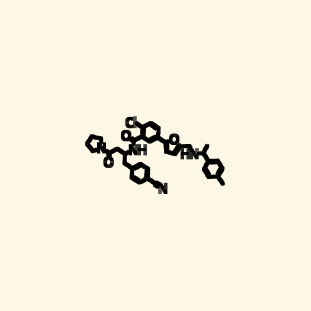 Cc1ccc(C(C)NCc2ccc(-c3ccc(Cl)c(C(=O)NC(CC(=O)N4CCCC4)Cc4ccc(C#N)cc4)c3)o2)cc1